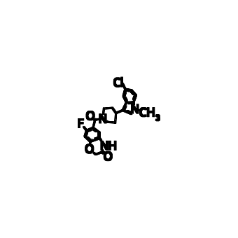 Cn1cc(C2CCN(C(=O)c3cc4c(cc3F)OCC(=O)N4)CC2)c2cc(Cl)ccc21